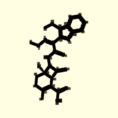 CON=C(C(=O)NC1C(=O)N2C(C(=O)O)=C(C)CS[C@@H]12)c1sc2ccccc2c1OC